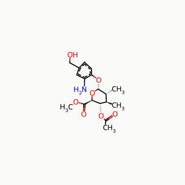 COC(=O)[C@H]1O[C@H](Oc2ccc(CO)cc2N)[C@H](C)[C@@H](C)[C@@H]1OC(C)=O